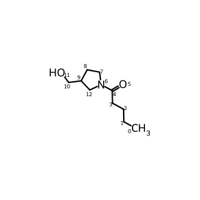 CCCCC(=O)N1CCC(CO)C1